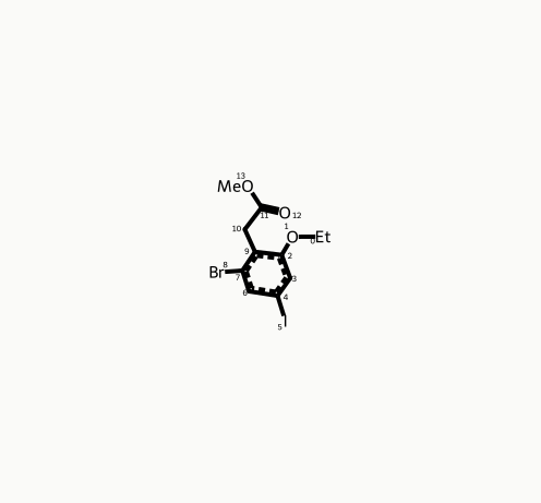 CCOc1cc(I)cc(Br)c1CC(=O)OC